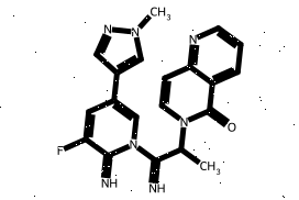 CC(C(=N)n1cc(-c2cnn(C)c2)cc(F)c1=N)n1ccc2ncccc2c1=O